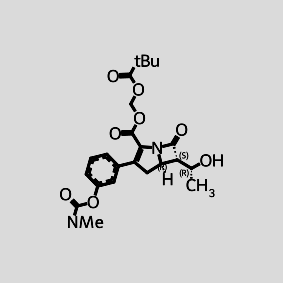 CNC(=O)Oc1cccc(C2=C(C(=O)OCOC(=O)C(C)(C)C)N3C(=O)[C@H]([C@@H](C)O)[C@H]3C2)c1